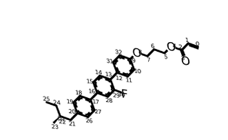 C=CC(=O)OCCCOc1ccc(-c2ccc(-c3ccc(C[C@@H](C)CC)cc3)cc2F)cc1